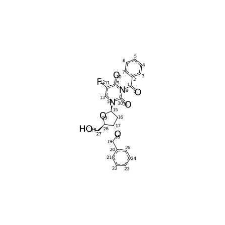 O=C(c1ccccc1)n1c(=O)c(F)cn([C@H]2C[C@H](OCc3ccccc3)[C@@H](CO)O2)c1=O